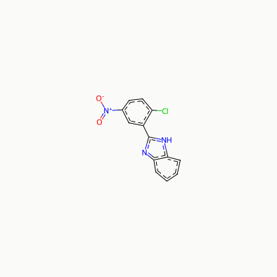 O=[N+]([O-])c1ccc(Cl)c(-c2nc3ccccc3[nH]2)c1